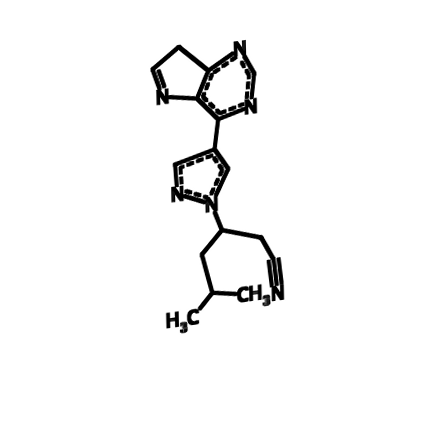 CC(C)CC(CC#N)n1cc(-c2ncnc3c2N=CC3)cn1